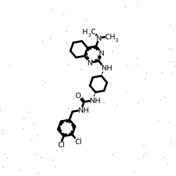 CN(C)c1nc(N[C@H]2CC[C@@H](NC(=O)NCc3ccc(Cl)c(Cl)c3)CC2)nc2c1CCCC2